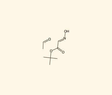 CC(C)(C)OC(=O)C=NO.CC=O